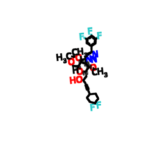 CO[C@@H]1[C@@H](n2cc(-c3cc(F)c(F)c(F)c3)nn2)[C@H]2OC(C)(C)OC[C@H]2O[C@@H]1CC(O)C#CC1CCC(F)(F)CC1